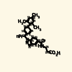 CCC[C@@H](c1ccc(-c2c(C)cc(C)cc2C)cc1)n1ncc2cc(C(=O)NCCC(=O)O)ccc21